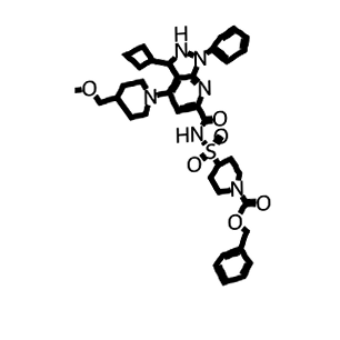 COCC1CCN(c2cc(C(=O)NS(=O)(=O)C3CCN(C(=O)OCc4ccccc4)CC3)nc3c2C(C2CCC2)NN3c2ccccc2)CC1